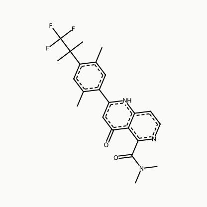 Cc1cc(C(C)(C)C(F)(F)F)c(C)cc1-c1cc(=O)c2c(C(=O)N(C)C)nccc2[nH]1